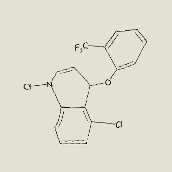 FC(F)(F)c1ccccc1OC1C=CN(Cl)c2cccc(Cl)c21